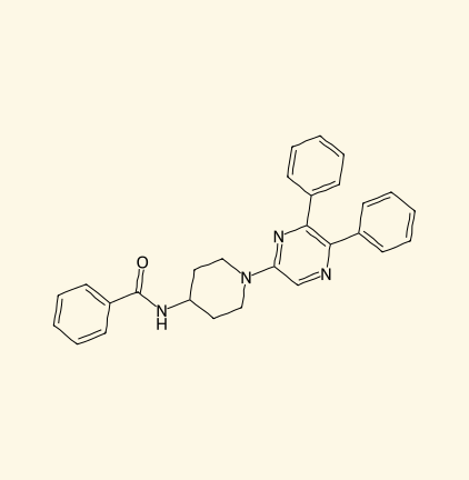 O=C(NC1CCN(c2cnc(-c3ccccc3)c(-c3ccccc3)n2)CC1)c1ccccc1